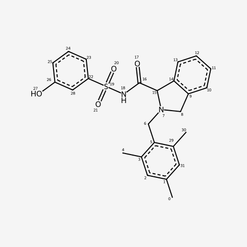 Cc1cc(C)c(CN2Cc3ccccc3C2C(=O)NS(=O)(=O)c2cccc(O)c2)c(C)c1